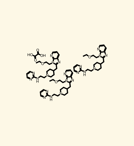 CCOCCn1c(CC2CCN(CCNc3ncccn3)CC2)nc2cccnc21.CCOCCn1c(CC2CCN(CCNc3ncccn3)CC2)nc2cccnc21.CCOCCn1c(CC2CCN(CCNc3ncccn3)CC2)nc2cccnc21.O=C(O)C(=O)O